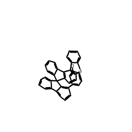 Clc1cccc(-c2cccc3c2C2(c4ccccc4-3)c3ccccc3-c3c2ccc2sc4ccccc4c32)c1